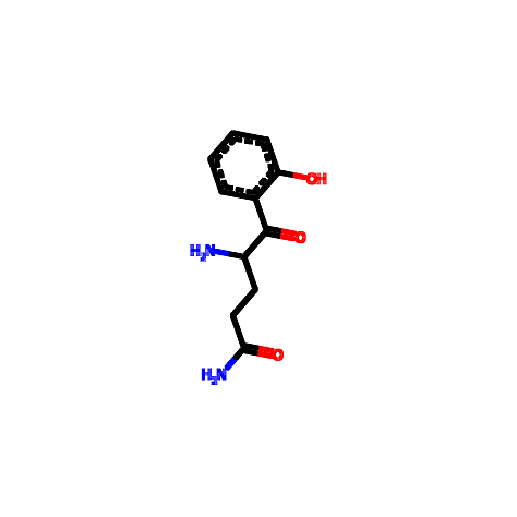 NC(=O)CCC(N)C(=O)c1ccccc1O